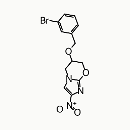 O=[N+]([O-])c1cn2c(n1)OCC(OCc1cccc(Br)c1)C2